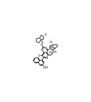 Oc1cc(-c2nc3c4c(nc(OC[C@@]56CCCN5C[C@H](F)C6)nc4c2F)N2C[C@H]4CC[C@H](N4)[C@H]2CC3)c2ccccc2c1